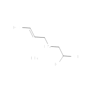 Br.CC=CCNCC(O)O